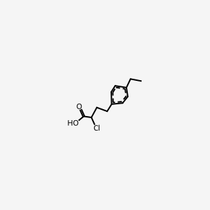 CCc1ccc(CCC(Cl)C(=O)O)cc1